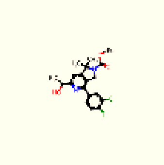 CC(C)(C)OC(=O)N1Cc2c(cc(C(O)C(F)(F)F)nc2-c2ccc(F)c(Cl)c2)C1(C)C